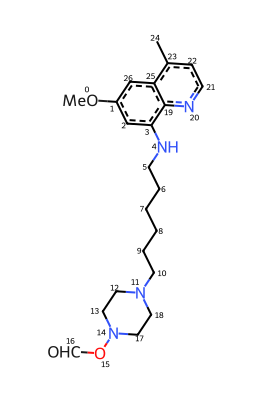 COc1cc(NCCCCCCN2CCN(OC=O)CC2)c2nccc(C)c2c1